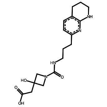 O=C(O)CC1(O)CN(C(=O)NCCCc2ccc3c(n2)NCCC3)C1